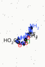 Cn1c(-c2cn(-c3ccc(N)cn3)nc2C(F)(F)F)cnc1C(=O)Nc1ccc(C(=O)N2CCN(C(=O)C3CC[N+](CC(=O)O)(CC4CNC4)CC3)CC23CC3)c(Cl)c1